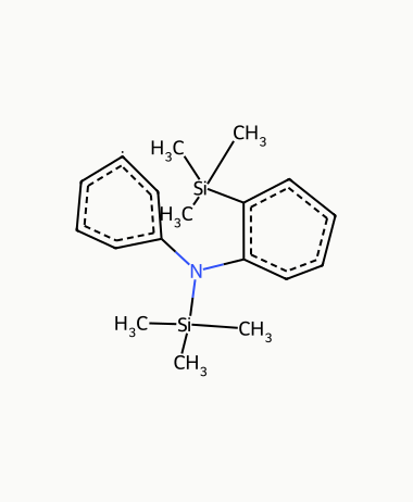 C[Si](C)(C)c1ccccc1N(c1c[c]ccc1)[Si](C)(C)C